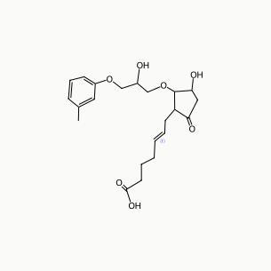 Cc1cccc(OCC(O)COC2C(O)CC(=O)C2C/C=C/CCCC(=O)O)c1